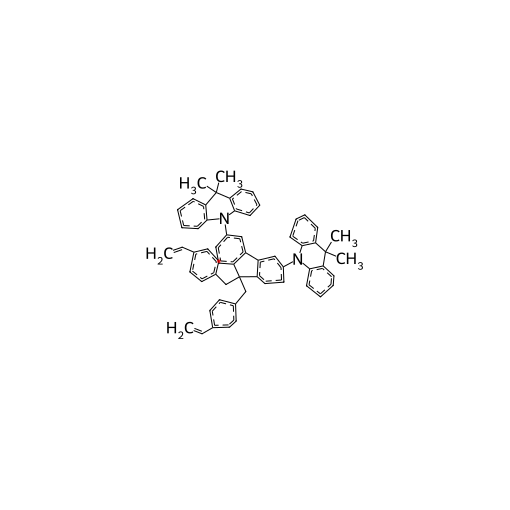 C=Cc1ccc(CC2(Cc3ccc(C=C)cc3)c3ccc(N4c5ccccc5C(C)(C)c5ccccc54)cc3-c3cc(N4c5ccccc5C(C)(C)c5ccccc54)ccc32)cc1